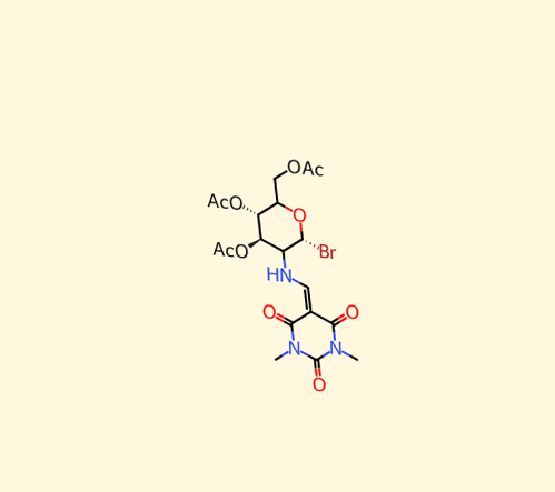 CC(=O)OCC1O[C@H](Br)C(NC=C2C(=O)N(C)C(=O)N(C)C2=O)[C@@H](OC(C)=O)[C@@H]1OC(C)=O